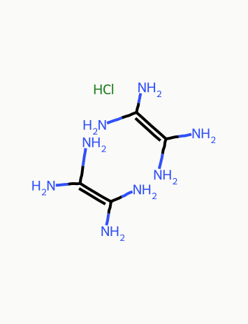 Cl.NC(N)=C(N)N.NC(N)=C(N)N